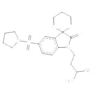 CC(N)CCN1C(=O)C2(OCCCO2)c2cc(S(=O)(=O)N3CCCC3)ccc21